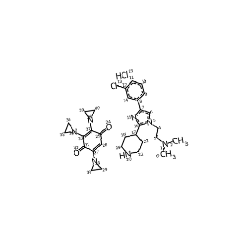 CN(C)CCn1cc(-c2cccc(Cl)c2)nc1C1CCNCC1.Cl.O=C1C=C(N2CC2)C(=O)C(N2CC2)=C1N1CC1